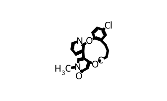 Cn1cc2c(cc1=O)OCCCCc1cc(Cl)ccc1Oc1ncccc1-2